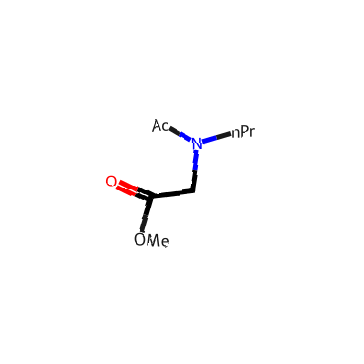 CCCN(CC(=O)OC)C(C)=O